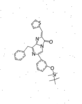 CC(C)(C)[Si](C)(C)Oc1cccc(C2=CN3C(=O)/C(=C/c4cccs4)N=C3C(Cc3ccccc3)=N2)c1